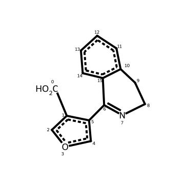 O=C(O)c1cocc1C1=NCCc2ccccc21